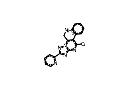 NCc1c(-c2ccccc2)c(Cl)nc2nc(-c3ccccn3)nn12